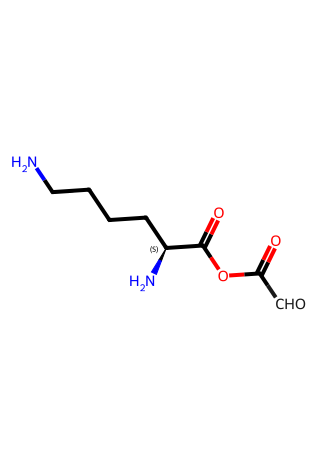 NCCCC[C@H](N)C(=O)OC(=O)C=O